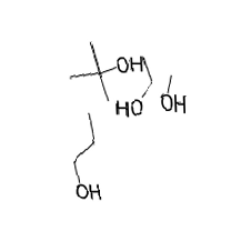 CC(C)(C)O.CCCO.CCO.CO